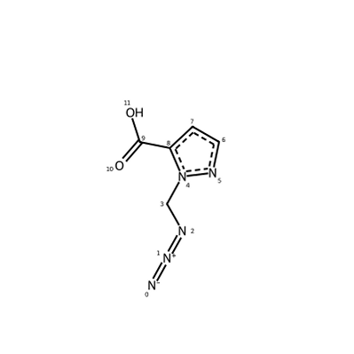 [N-]=[N+]=NCn1nccc1C(=O)O